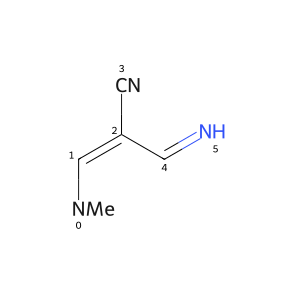 CN/C=C(/C#N)C=N